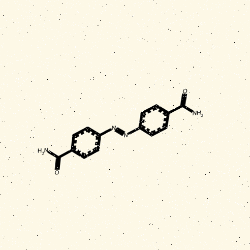 NC(=O)c1ccc(N=Nc2ccc(C(N)=O)cc2)cc1